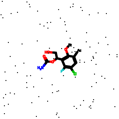 CCOc1c(C(C)=O)cc(Cl)c(F)c1C(CO)OC(N)=O